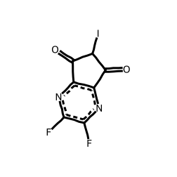 O=C1c2nc(F)c(F)nc2C(=O)C1I